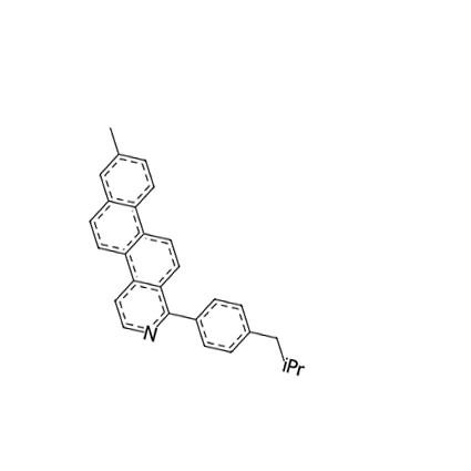 Cc1ccc2c(ccc3c4ccnc(-c5ccc(CC(C)C)cc5)c4ccc23)c1